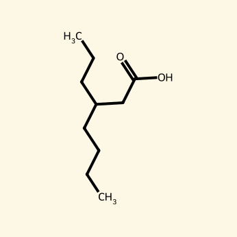 CCCCC(CCC)CC(=O)O